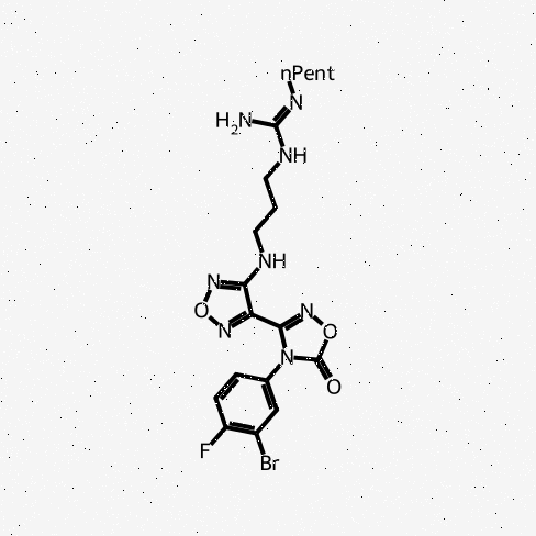 CCCCC/N=C(\N)NCCCNc1nonc1-c1noc(=O)n1-c1ccc(F)c(Br)c1